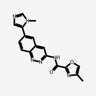 Cc1coc(C(=O)Nc2cc3cc(-c4cncn4C)ccc3nn2)n1